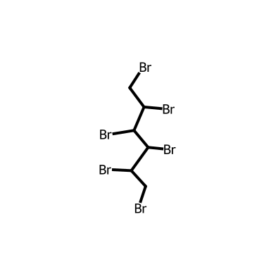 BrCC(Br)C(Br)C(Br)C(Br)CBr